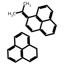 C1=Cc2cccc3cccc(c23)C1.CC(C)=c1ccc2cccc3cccc1c32